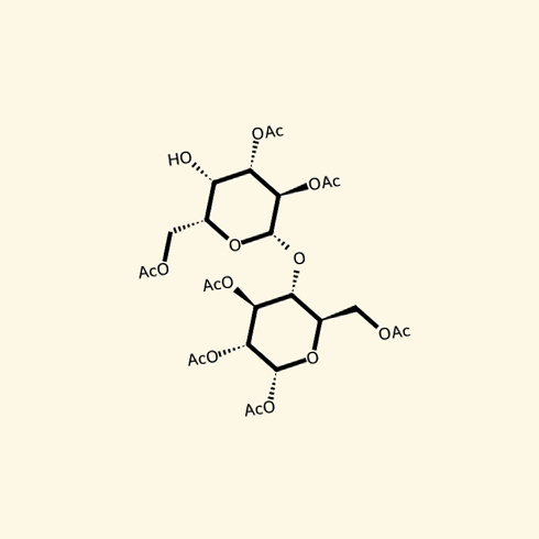 CC(=O)OC[C@H]1O[C@@H](O[C@H]2[C@H](OC(C)=O)[C@@H](OC(C)=O)[C@@H](OC(C)=O)O[C@@H]2COC(C)=O)[C@H](OC(C)=O)[C@@H](OC(C)=O)[C@H]1O